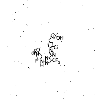 C[C@]1(O)CCN(Cc2ccc(-n3cnc(-c4nc(N[C@H]5CCN(S(C)(=O)=O)C[C@H]5F)ncc4C(F)(F)F)c3)c(Cl)c2)C1